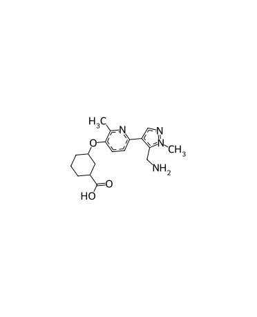 Cc1nc(-c2cnn(C)c2CN)ccc1OC1CCCC(C(=O)O)C1